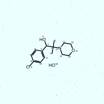 CC(C)(C(O)c1ccc(Cl)cc1)N1CCOCC1.Cl